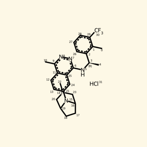 Cc1c([C@@H](C)Nc2nnc(C)c3ccc(N4C5CCC4CN(C)C5)cc23)cccc1C(F)(F)F.Cl